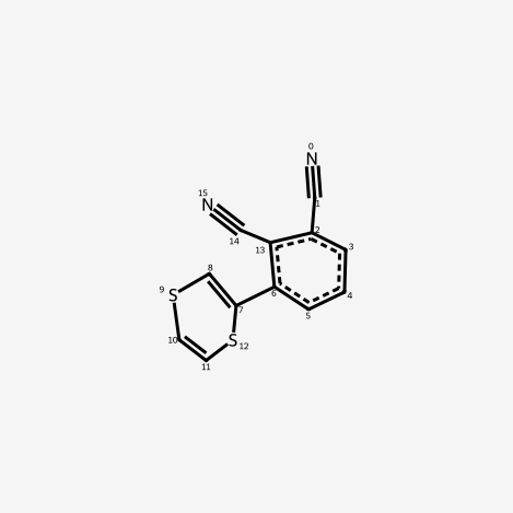 N#Cc1cccc(C2=CSC=CS2)c1C#N